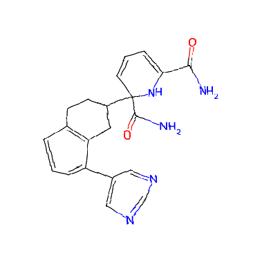 NC(=O)C1=CC=CC(C(N)=O)(C2CCc3cccc(-c4cncnc4)c3C2)N1